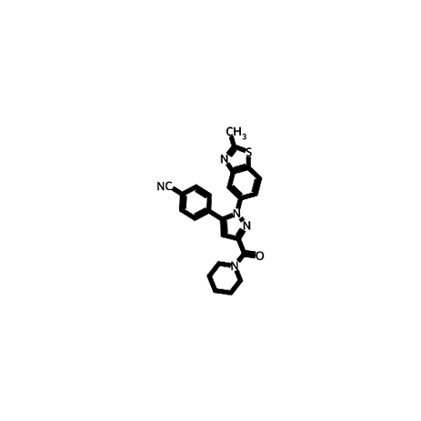 Cc1nc2cc(-n3nc(C(=O)N4CCCCC4)cc3-c3ccc(C#N)cc3)ccc2s1